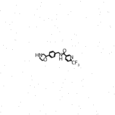 O=C(NCc1ccc(C2CNCCO2)cc1)c1ccc(C(F)(F)F)nc1